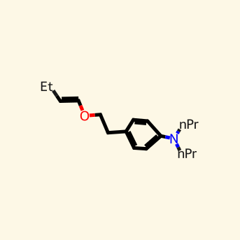 CCC=COCCc1ccc(N(CCC)CCC)cc1